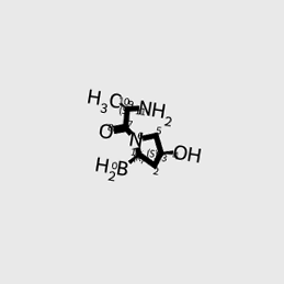 B[C@@H]1C[C@H](O)CN1C(=O)[C@H](C)N